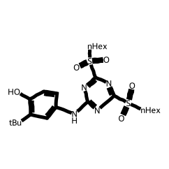 CCCCCCS(=O)(=O)c1nc(Nc2ccc(O)c(C(C)(C)C)c2)nc(S(=O)(=O)CCCCCC)n1